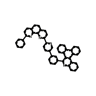 c1ccc(-c2ccc3ccc4ccc(-c5ccc(-c6cccc(-c7nc8ccccc8c8c9ccccc9c9ccccc9c78)c6)cn5)nc4c3n2)cc1